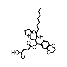 CCCCCCCC(=O)NC(CN1CCCC1)C(OC(=O)CCC(=O)O)c1ccc2c(c1)OCCO2